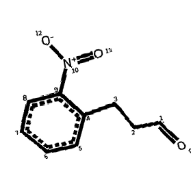 O=[C]CCc1ccccc1[N+](=O)[O-]